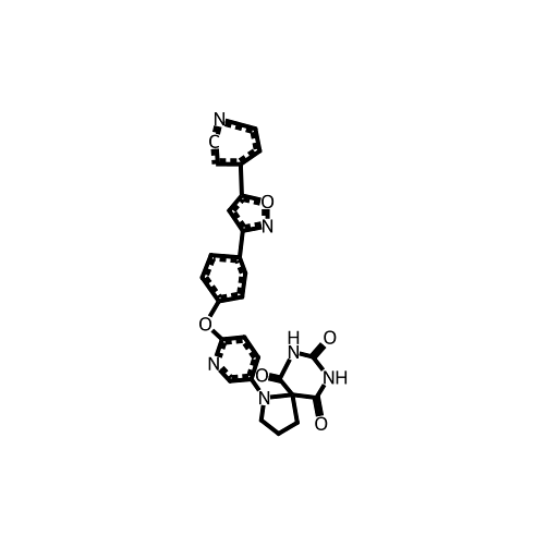 O=C1NC(=O)C2(CCCN2c2ccc(Oc3ccc(-c4cc(-c5ccncc5)on4)cc3)nc2)C(=O)N1